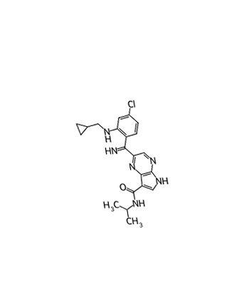 CC(C)NC(=O)c1c[nH]c2ncc(C(=N)c3ccc(Cl)cc3NCC3CC3)nc12